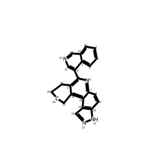 c1ccc2c(-c3nc4ccc5[nH]ncc5c4c4c3CCCC4)cncc2c1